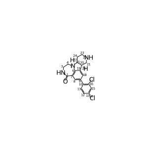 O=C1NCCN2c3c1cc(-c1ccc(Cl)cc1Cl)cc3[C@@H]1CNCC[C@@H]12